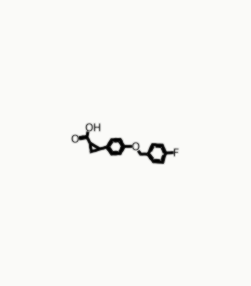 O=C(O)C1CC1c1ccc(OCc2ccc(F)cc2)cc1